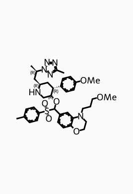 COCCCN1CCOc2ccc(C(O[C@H]3CN[C@@H](C[C@@H](C)n4nnc(C)n4)C[C@@H]3c3ccc(OC)cc3)S(=O)(=O)c3ccc(C)cc3)cc21